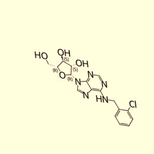 OC[C@H]1O[C@@H](n2cnc3c(NCc4ccccc4Cl)ncnc32)[C@@H](O)[C@@H]1O